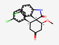 CO[C@H]1CC(=O)C[C@@H](c2cccc(Cl)c2)[C@]12C(=O)Nc1ccc(Cl)cc12